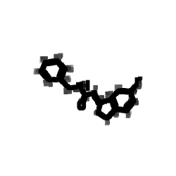 O=C(C=C1CCc2ccc(F)cc21)NCc1ccccc1